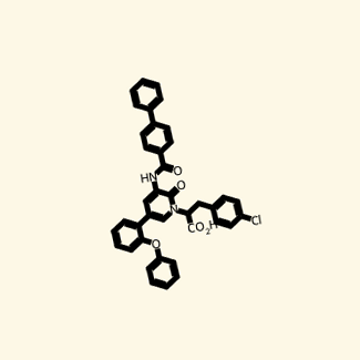 O=C(Nc1cc(-c2ccccc2Oc2ccccc2)cn(C(Cc2ccc(Cl)cc2)C(=O)O)c1=O)c1ccc(-c2ccccc2)cc1